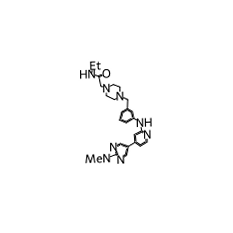 CCNC(=O)CN1CCN(Cc2cccc(Nc3cc(-c4cnc(NC)nc4)ccn3)c2)CC1